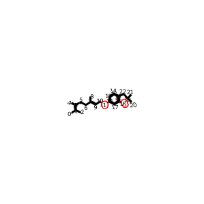 CC(C)=C(C)CC/C(C)=C/COc1ccc2c(c1)OC(C)(C)C2